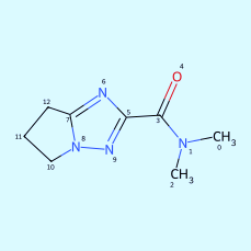 CN(C)C(=O)c1nc2n(n1)CCC2